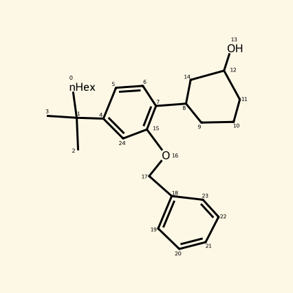 CCCCCCC(C)(C)c1ccc(C2CCCC(O)C2)c(OCc2ccccc2)c1